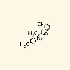 Cc1ccc(-n2ccc(=O)c(Cc3c(Cl)cccc3Cl)c2C)cc1